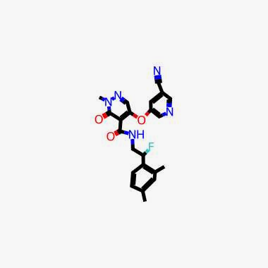 Cc1ccc(C(F)CNC(=O)c2c(Oc3cncc(C#N)c3)cnn(C)c2=O)c(C)c1